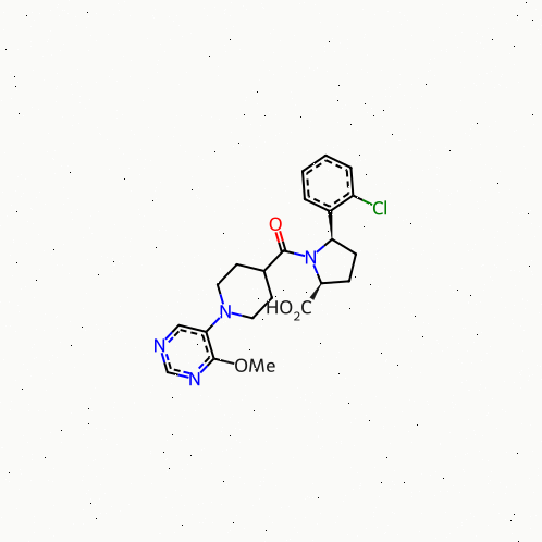 COc1ncncc1N1CCC(C(=O)N2[C@@H](c3ccccc3Cl)CC[C@H]2C(=O)O)CC1